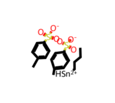 CCC[CH2][SnH+2].Cc1ccc(S(=O)(=O)[O-])cc1.Cc1ccc(S(=O)(=O)[O-])cc1